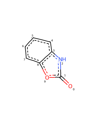 O=c1[nH]c2c[c]ccc2o1